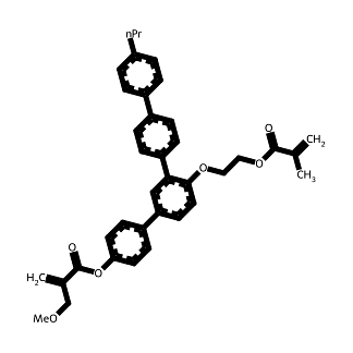 C=C(C)C(=O)OCCOc1ccc(-c2ccc(OC(=O)C(=C)COC)cc2)cc1-c1ccc(-c2ccc(CCC)cc2)cc1